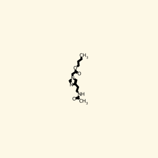 CCCCOC(=O)Cn1cnc(CCNC(C)=O)c1